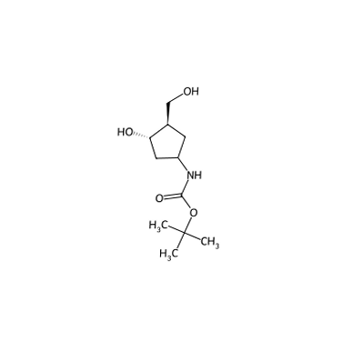 CC(C)(C)OC(=O)NC1C[C@H](CO)[C@@H](O)C1